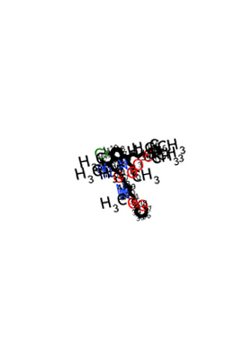 COC(=O)c1c(CCCO[Si](C)(C)C(C)(C)C)c2ccc(Cl)c(-c3c(COCc4cc(COC5CCCCO5)n(C)n4)nn(C)c3C)c2n1C